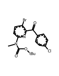 CN(C(=O)OC(C)(C)C)c1ccc(Br)c(C(=O)c2ccc(Cl)cc2)n1